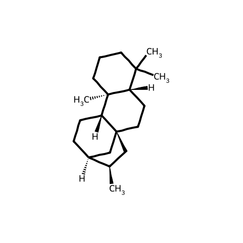 C[C@@H]1C[C@]23CC[C@H]4C(C)(C)CCC[C@]4(C)[C@H]2CC[C@H]1C3